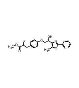 COC(=O)C(Br)Cc1ccc(OCC(O)c2nc(-c3ccccc3)oc2C)cc1